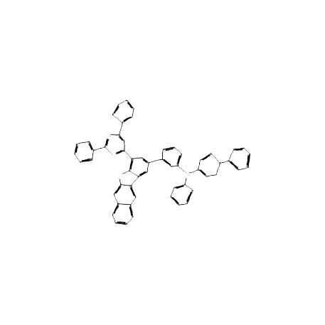 C1=CC(c2ccccc2)CC=C1N(c1ccccc1)c1cccc(-c2cc(-c3cc(-c4ccccc4)nc(-c4ccccc4)n3)c3oc4cc5ccccc5cc4c3c2)c1